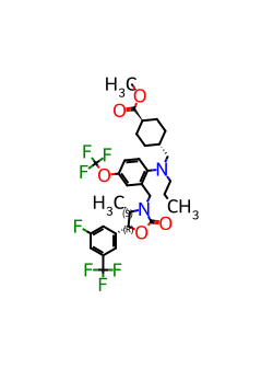 CCCN(C[C@H]1CC[C@H](C(=O)OC)CC1)c1ccc(OC(F)(F)F)cc1CN1C(=O)O[C@H](c2cc(F)cc(C(F)(F)F)c2)[C@@H]1C